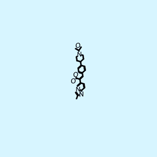 Cc1cn2cc(-c3cc4ccc(C5CCN(C6COC6)CC5)cc4oc3=O)ccc2n1